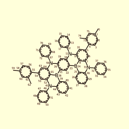 Cc1ccc(-c2cc3c4c(c2)N(c2ccccc2)c2cc5c(cc2B4c2ccccc2N3c2ccccc2)B2c3ccccc3N(c3ccccc3)c3cc(-c4ccc(C)cc4C)cc(c32)N5c2ccccc2)c(C)c1